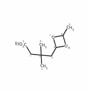 CCOC(=O)CC(C)(C)CC1OC(C)O1